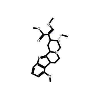 CC[C@@H]1CN2CCC3C(=Nc4cccc(OC)c43)C2CC1/C(=C/OC)C(=O)OC